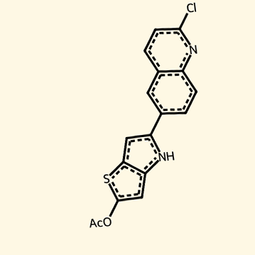 CC(=O)Oc1cc2[nH]c(-c3ccc4nc(Cl)ccc4c3)cc2s1